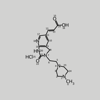 CN1CCN(CCN2Cc3cc(C=CC(=O)O)cnc3NC2=O)CC1.Cl